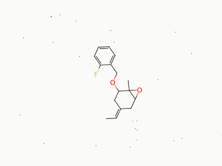 CC=C1CC(OCc2ccccc2F)C2(C)OC2C1